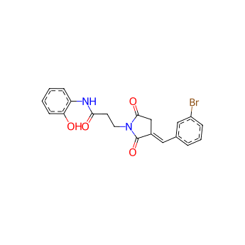 O=C(CCN1C(=O)CC(=Cc2cccc(Br)c2)C1=O)Nc1ccccc1O